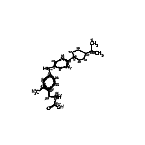 Cc1cc(Nc2cnc(N3CCC(C(C)C)CC3)nc2)ccc1CNC(=O)O